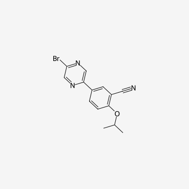 CC(C)Oc1ccc(-c2cnc(Br)cn2)cc1C#N